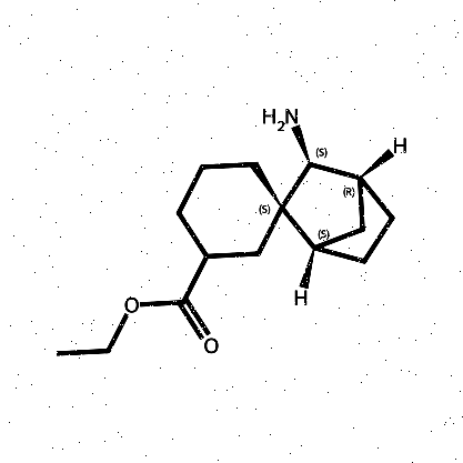 CCOC(=O)C1CCC[C@]2(C1)[C@H]1CC[C@H](C1)[C@@H]2N